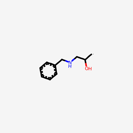 [CH2]C(O)CNCc1ccccc1